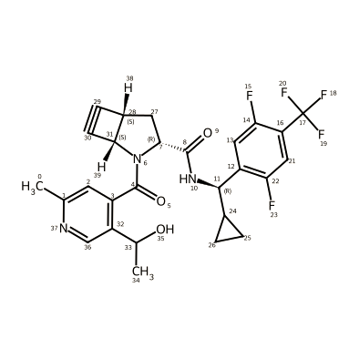 Cc1cc(C(=O)N2[C@@H](C(=O)N[C@@H](c3cc(F)c(C(F)(F)F)cc3F)C3CC3)C[C@H]3C#C[C@H]32)c(C(C)O)cn1